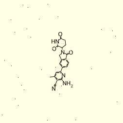 Cc1cc(-c2ccc3c(c2)CN(C2CCC(=O)NC2=O)C3=O)nc(N)c1C#N